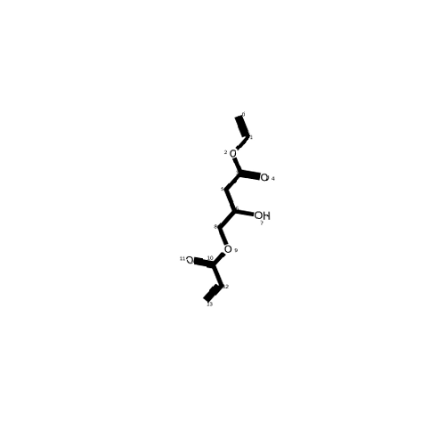 C=COC(=O)CC(O)COC(=O)C=C